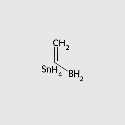 BC=C.[SnH4]